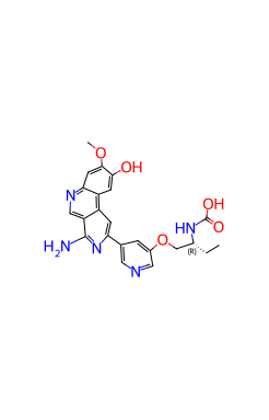 CC[C@H](COc1cncc(-c2cc3c(cnc4cc(OC)c(O)cc43)c(N)n2)c1)NC(=O)O